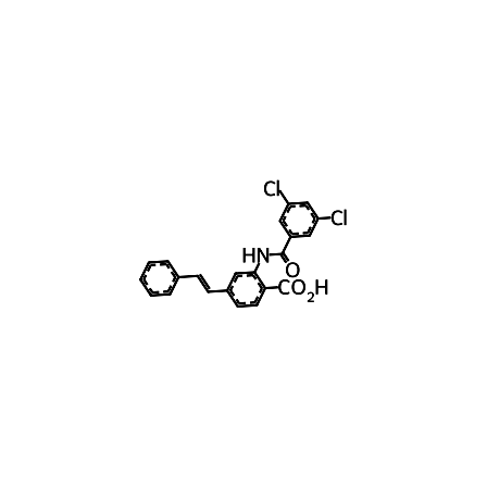 O=C(Nc1cc(C=Cc2ccccc2)ccc1C(=O)O)c1cc(Cl)cc(Cl)c1